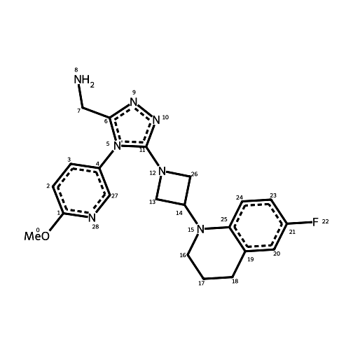 COc1ccc(-n2c(CN)nnc2N2CC(N3CCCc4cc(F)ccc43)C2)cn1